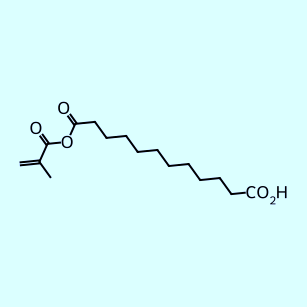 C=C(C)C(=O)OC(=O)CCCCCCCCCCC(=O)O